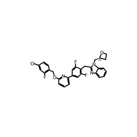 Fc1cc(Cl)ccc1COc1cccc(-c2cc(F)c(Cc3nc4ccccc4n3C[C@@H]3CCO3)c(F)c2)n1